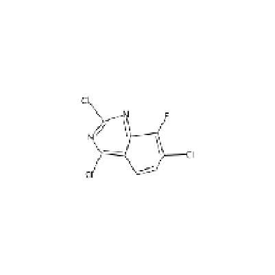 Fc1c(Cl)ccc2c(Cl)nc(Cl)nc12